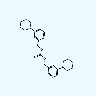 O=C(OCc1cccc(C2CCCCC2)c1)OCc1cccc(C2CCCCC2)c1